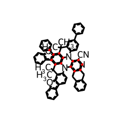 CC1(C)c2cc(-c3ccccc3)ccc2N(c2c(C#N)nc3c(c2N2c4ccc(-c5ccccc5)cc4C(C)(C)c4c2ccc2c4oc4ccccc42)C2c4ccccc4C3c3ccccc32)c2ccc3c(oc4ccccc43)c21